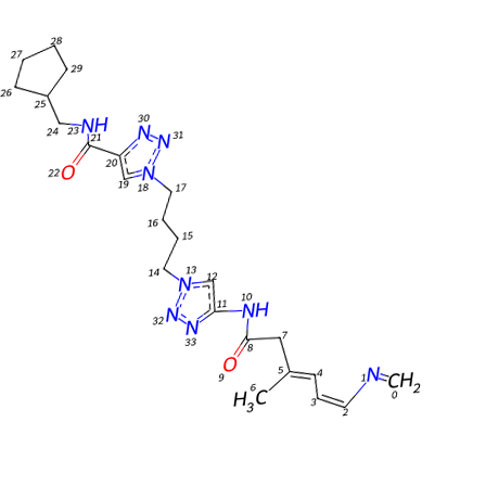 C=N/C=C\C=C(/C)CC(=O)Nc1cn(CCCCn2cc(C(=O)NCC3CCCC3)nn2)nn1